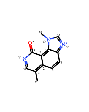 CC1=c2ccc3c(c2C(=O)N=C1)N(C)C=[N+]=3